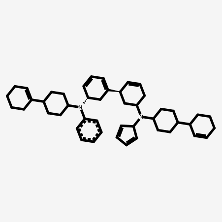 C1=CC(N(C2CCC(C3C=CCCC3)CC2)C2CC=C[C@H](C3=CC=C[C@@H](N(c4ccccc4)C4CCC(C5=CCCCC5)CC4)C3)C2)C=C1